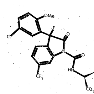 CC[C@H](C)[C@H](NC(=O)N1C(=O)C(F)(c2cc(Cl)ccc2OC)c2ccc(C(F)(F)F)cc21)C(=O)O